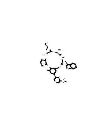 CN1C(=O)[C@H](CN)NC(=O)[C@H](CCCN)NCc2cccnc2Sc2c(Cl)cc(-c3cncc(S(C)(=O)=O)c3)cc2CNC(=O)[C@@H]1Cc1c[nH]c2ccccc12